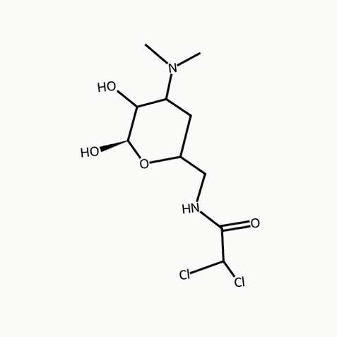 CN(C)C1CC(CNC(=O)C(Cl)Cl)O[C@@H](O)C1O